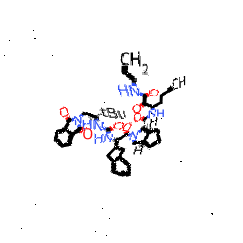 C#CCCC(NC(=O)[C@@H]1[C@H]2CCC[C@H]2CN1C(=O)[C@@H](NC(=O)N[C@H](CN1C(=O)c2ccccc2C1=O)C(C)(C)C)C1Cc2ccccc2C1)C(=O)C(=O)NCC=C